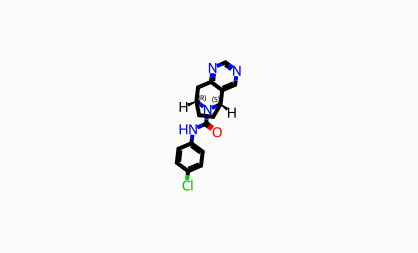 O=C(Nc1ccc(Cl)cc1)N1[C@@H]2CC[C@H]1c1cncnc1C2